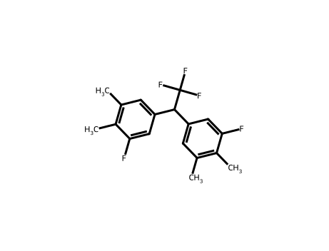 Cc1cc(C(c2cc(C)c(C)c(F)c2)C(F)(F)F)cc(F)c1C